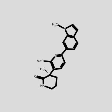 COc1nc(-c2ccc3ccn(C)c3c2)ccc1[C@@]1(C)CCCNC1=O